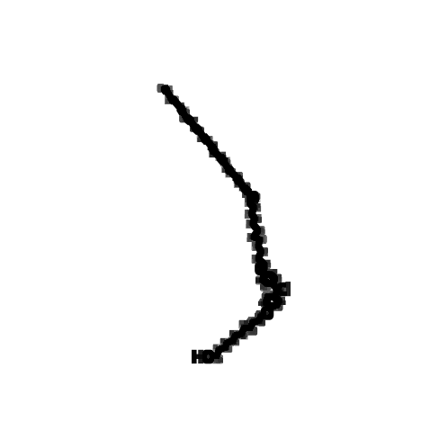 C#CC#CC#CC#CC#CC#CC#CC#CC#CC#CC#COCCCCCCCCCCCCOc1ccc(C(Cl)c2ccc(OCCCCCCCCCCCCO)cc2)cc1